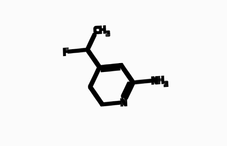 CC(F)C1=CC(N)=NCC1